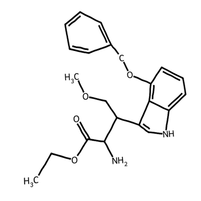 CCOC(=O)C(N)C(COC)c1c[nH]c2cccc(OCc3ccccc3)c12